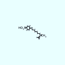 CN(CCCCCCOC1CCN(S(=O)(=O)O)CC1)C1CC1